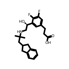 CC(C)(CC1Cc2ccccc2C1)NC[C@@H](O)c1cc(CCC(=O)O)cc(F)c1F